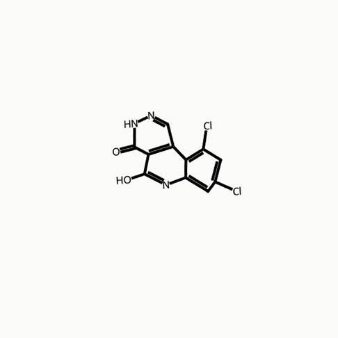 O=c1[nH]ncc2c1c(O)nc1cc(Cl)cc(Cl)c12